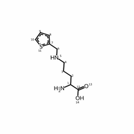 NC(CCCNCc1cccs1)C(=O)O